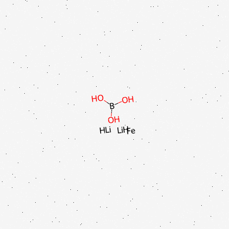 OB(O)O.[Fe].[LiH].[LiH]